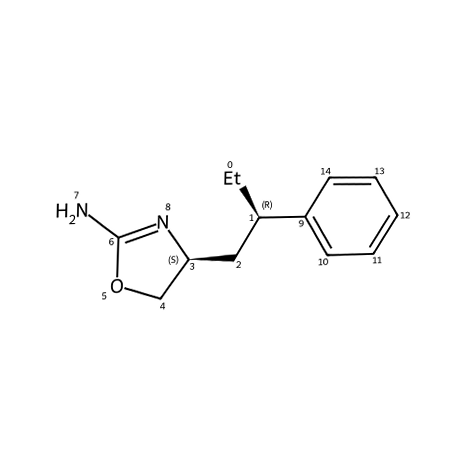 CC[C@H](C[C@H]1COC(N)=N1)c1ccccc1